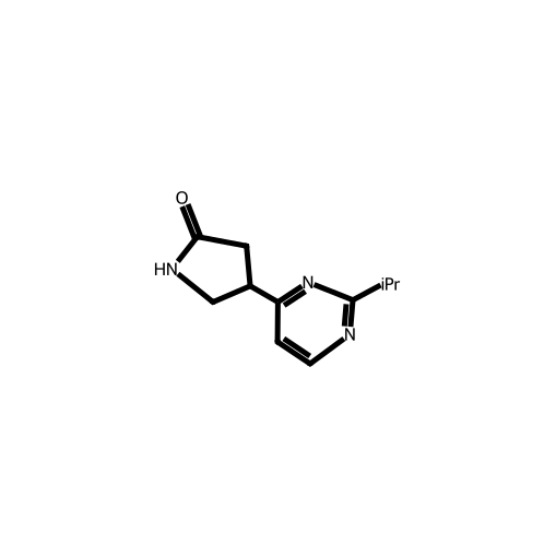 CC(C)c1nccc(C2CNC(=O)C2)n1